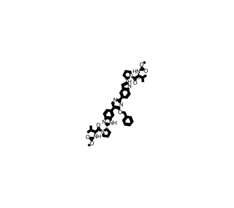 COC(=O)N[C@H](C(=O)N1CCC[C@H]1c1cc2cc(-c3ncc(-c4ccc5nc([C@@H]6CCCN6C(=O)[C@@H](NC(=O)OC)C(C)C)[nH]c5c4)c(OCc4ccccc4)n3)ccc2[nH]1)C(C)C